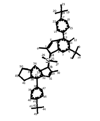 CC1=Cc2c(cc(C(C)(C)C)c(C)c2-c2ccc(C(C)(C)C)cc2)C1[Si](C)(C)C1C(C)=Cc2c1cc1c(c2-c2ccc(C(C)(C)C)cc2)CCC1